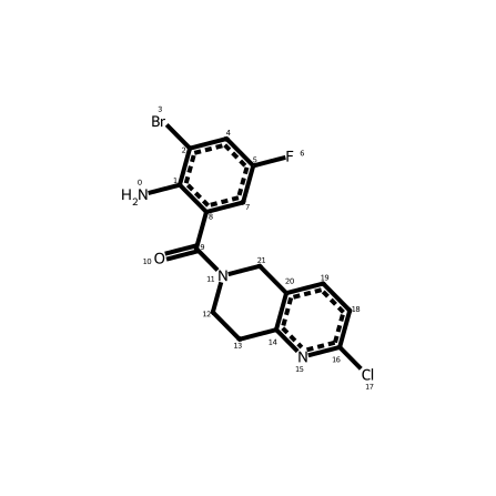 Nc1c(Br)cc(F)cc1C(=O)N1CCc2nc(Cl)ccc2C1